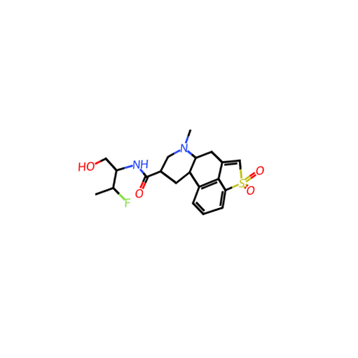 CC(F)C(CO)NC(=O)C1CC2c3cccc4c3C(=CS4(=O)=O)CC2N(C)C1